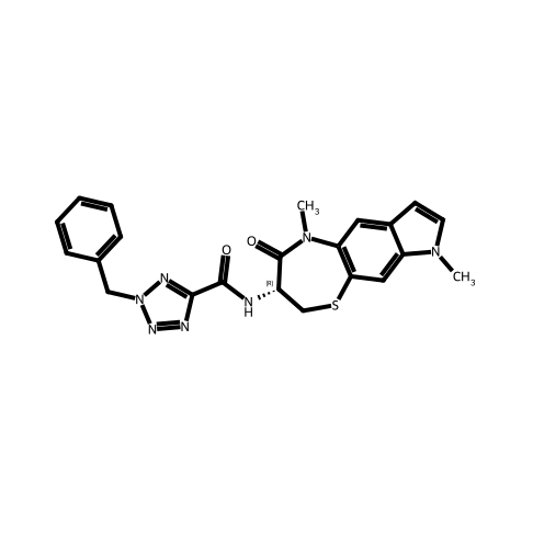 CN1C(=O)[C@@H](NC(=O)c2nnn(Cc3ccccc3)n2)CSc2cc3c(ccn3C)cc21